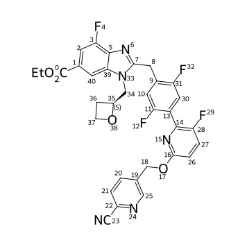 CCOC(=O)c1cc(F)c2nc(Cc3cc(F)c(-c4nc(OCc5ccc(C#N)nc5)ccc4F)cc3F)n(C[C@@H]3CCO3)c2c1